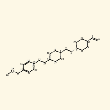 C=C[C@H]1CC[C@H](CCC2CCC(CCc3ccc(COC)cc3)CC2)CC1